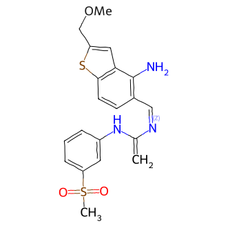 C=C(/N=C\c1ccc2sc(COC)cc2c1N)Nc1cccc(S(C)(=O)=O)c1